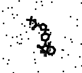 CC(C)(C)OC(=O)N1CCC(C)(N2CCC(N3C(=O)N[C@@H]4CCCC[C@H]43)CC2)C1